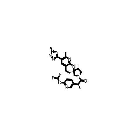 Cc1nc2c(cc1-c1nnn(C)n1)CC[C@@]1(CCN(C(=O)[C@@H](C)c3ccc(OC(F)F)nc3)C1)N2